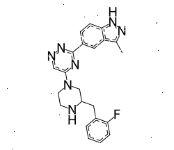 Cc1n[nH]c2ccc(-c3nncc(N4CCNC(Cc5ccccc5F)C4)n3)cc12